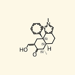 C[C@@H]1C(=O)C(=CO)C[C@]2(c3ccccc3)c3nn(C)cc3CC[C@@H]12